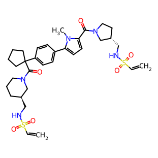 C=CS(=O)(=O)NC[C@H]1CCN(C(=O)c2ccc(-c3ccc(C4(C(=O)N5CCC[C@H](CNS(=O)(=O)C=C)C5)CCCC4)cc3)n2C)C1